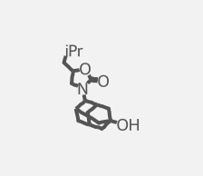 CC(C)CC1CN(C2C3CC4CC2CC(O)(C4)C3)C(=O)O1